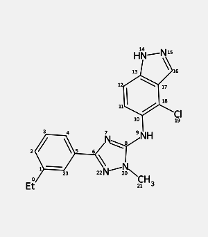 CCc1cccc(-c2nc(Nc3ccc4[nH]ncc4c3Cl)n(C)n2)c1